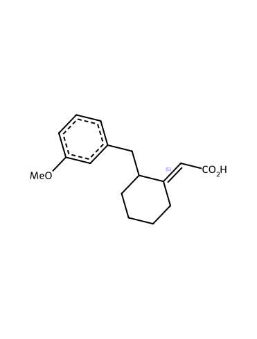 COc1cccc(CC2CCCC/C2=C\C(=O)O)c1